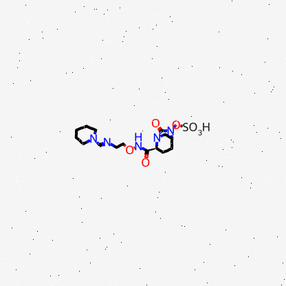 O=C(NOCC/N=C/N1CCCCC1)[C@@H]1CCC2CN1C(=O)N2OS(=O)(=O)O